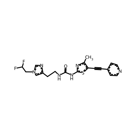 Cc1nc(NC(=O)NCCc2cn(CC(F)F)cn2)sc1C#Cc1ccncc1